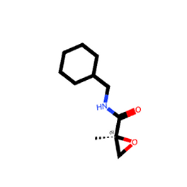 C[C@@]1(C(=O)NCC2CCCCC2)CO1